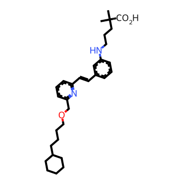 CC(C)(CCCNc1cccc(C=Cc2cccc(COCCCCC3CCCCC3)n2)c1)C(=O)O